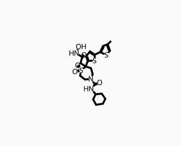 Cc1csc(-c2ccc(C3(CC(=O)NO)CCN(C(=O)NC4CCCCC4)CCS3(=O)=O)s2)c1